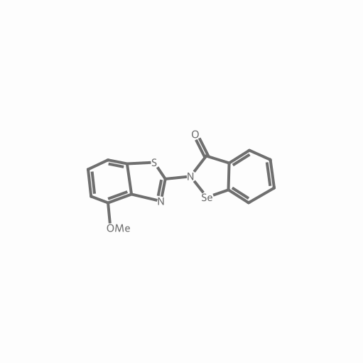 COc1cccc2sc(-n3[se]c4ccccc4c3=O)nc12